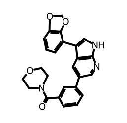 O=C(c1cccc(-c2cnc3[nH]cc(-c4cccc5c4OCO5)c3c2)c1)N1CCOCC1